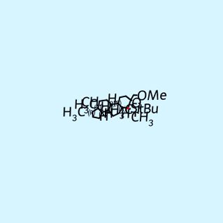 C=C(C)[C@H]1CC[C@H]2[C@@H]3CC[C@@H]4CC(COC)(O[Si](C)(C)C(C)(C)C)CC[C@@H]4[C@H]3CC[C@]12C